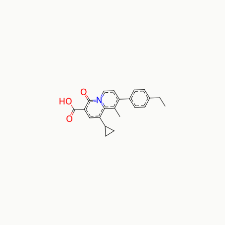 CCc1ccc(-c2ccn3c(=O)c(C(=O)O)cc(C4CC4)c3c2C)cc1